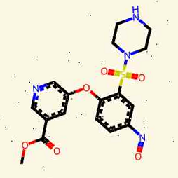 COC(=O)c1cncc(Oc2ccc(N=O)cc2S(=O)(=O)N2CCNCC2)c1